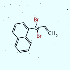 C=C[Si](Br)(Br)c1cccc2ccccc12